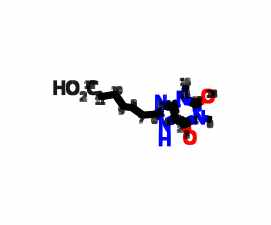 Cn1c(=O)c2[nH]c(CCCCCC(=O)O)nc2n(C)c1=O